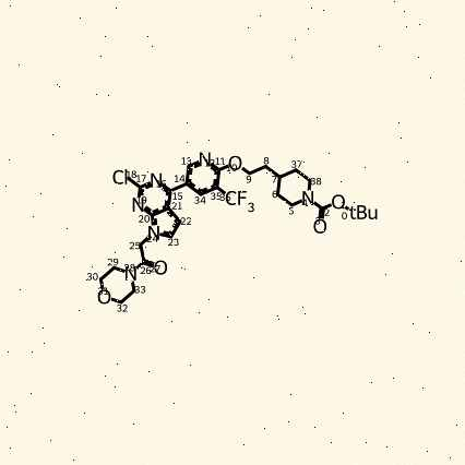 CC(C)(C)OC(=O)N1CCC(CCOc2ncc(-c3nc(Cl)nc4c3ccn4CC(=O)N3CCOCC3)cc2C(F)(F)F)CC1